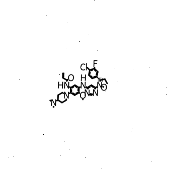 C=CC(=O)Nc1cc(Nc2cc(N3OCC[C@@H]3c3ccc(Cl)c(F)c3)ncn2)c(OC)cc1N1CCC(N(C)C)CC1